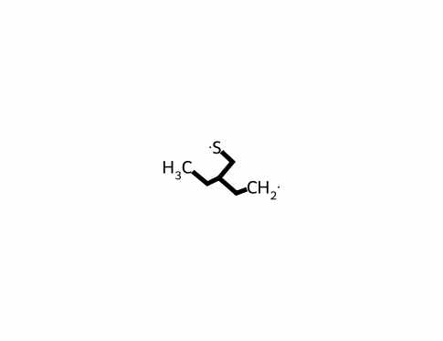 [CH2]CC(CC)C[S]